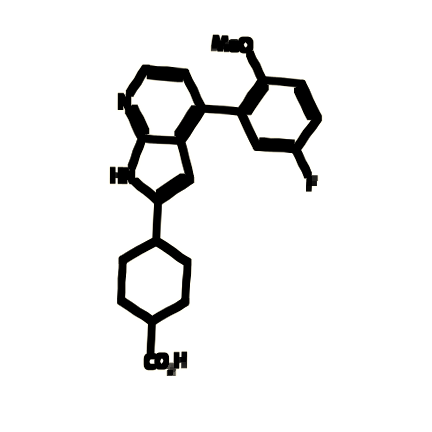 COc1ccc(F)cc1-c1ccnc2[nH]c(C3CCC(C(=O)O)CC3)cc12